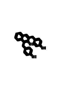 Oc1ccc(Cc2cc3ccccc3c(Cc3ccc(O)cc3)c2O)cc1